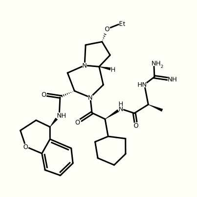 CCO[C@@H]1C[C@@H]2CN(C(=O)[C@@H](NC(=O)[C@H](C)NC(=N)N)C3CCCCC3)[C@H](C(=O)N[C@@H]3CCOc4ccccc43)CN2C1